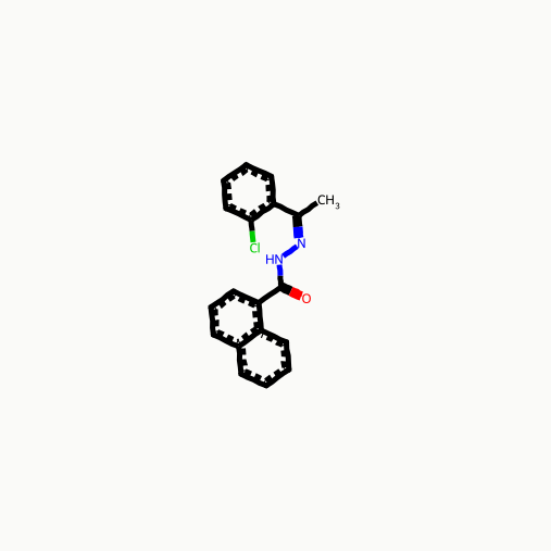 CC(=NNC(=O)c1cccc2ccccc12)c1ccccc1Cl